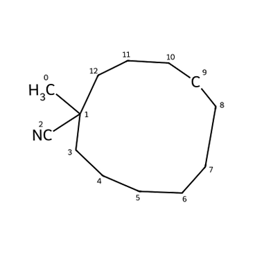 CC1(C#N)CCCCCCCCCC1